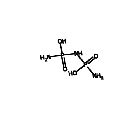 NP(=O)(O)NP(N)(=O)O